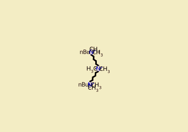 CCCC[N+](C)(C)CCCCCC[N+](C)(C)CCCCCC[N+](C)(C)CCCC